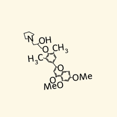 COc1cc(OC)c2c(=O)cc(-c3cc(C)c(OCC(O)CN4CCCC4)c(C)c3)oc2c1